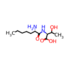 CCCCC[C@H](N)C(=O)N[C@H](C(=O)O)C(C)O